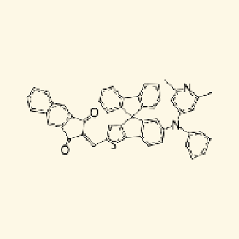 Cc1cc(N(c2ccccc2)c2ccc3c(c2)C2(c4ccccc4-c4ccccc42)c2cc(C=C4C(=O)c5cc6ccccc6cc5C4=O)sc2-3)cc(C)n1